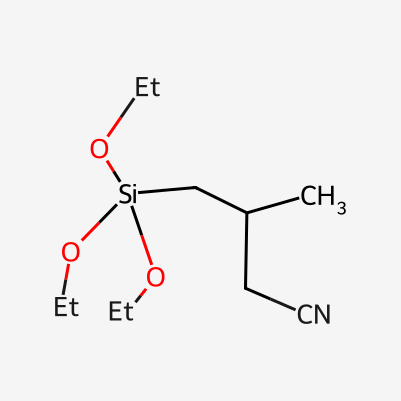 CCO[Si](CC(C)CC#N)(OCC)OCC